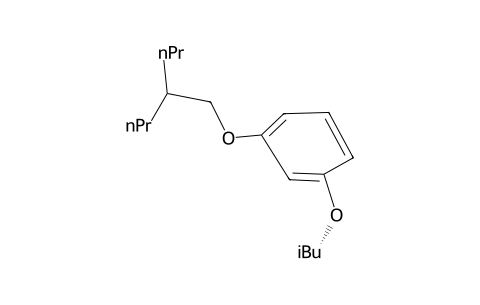 CCCC(CCC)COc1cccc(O[C@@H](C)CC)c1